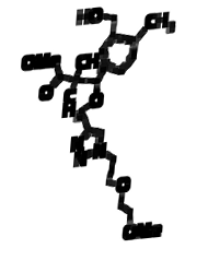 COCCOCCn1cc(CO[C@H](c2ccc(C)c(CO)c2)C(C)(C)C(=O)OC)nn1